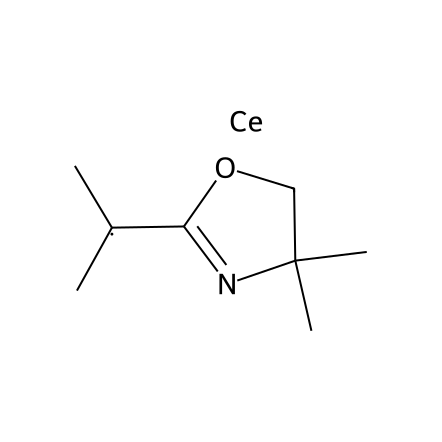 C[C](C)C1=NC(C)(C)CO1.[Ce]